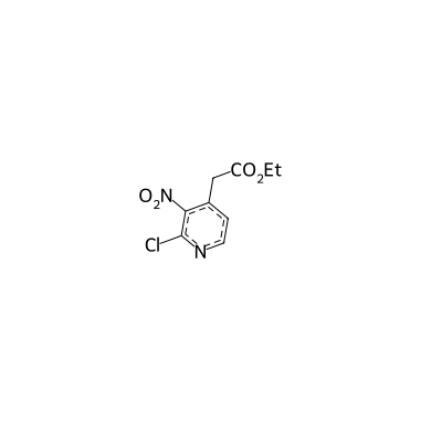 CCOC(=O)Cc1ccnc(Cl)c1[N+](=O)[O-]